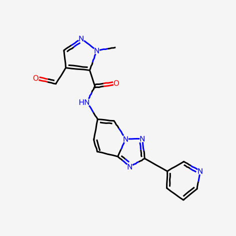 Cn1ncc(C=O)c1C(=O)Nc1ccc2nc(-c3cccnc3)nn2c1